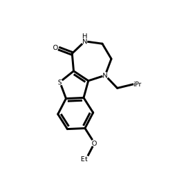 CCOc1ccc2sc3c(c2c1)N(CC(C)C)CCNC3=O